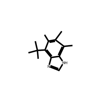 Cc1c(C)c(C)c2[nH]cnc2c1C(C)(C)C